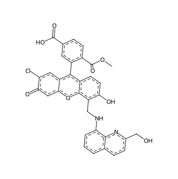 COC(=O)c1ccc(C(=O)O)cc1-c1c2cc(Cl)c(=O)cc-2oc2c(CNc3cccc4ccc(CO)nc34)c(O)ccc12